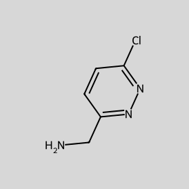 NCc1ccc(Cl)nn1